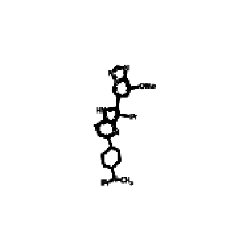 COc1cc(-c2[nH]c3ccc(C4CCC(N(C)C(C)C)CC4)nc3c2C(C)C)cn2ncnc12